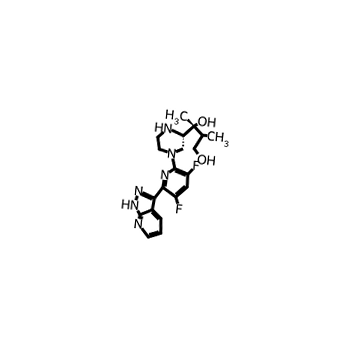 CC(CO)[C@@](C)(O)[C@@H]1CN(c2nc(-c3n[nH]c4ncccc34)c(F)cc2F)CCN1